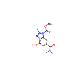 Cc1nc2c(O)cc(C(=O)N(C)C)cc2n1C(=O)OC(C)(C)C